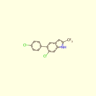 FC(F)(F)c1cc2cc(-c3ccc(Cl)cc3)c(Cl)cc2[nH]1